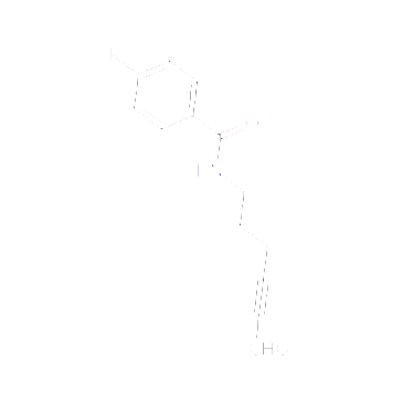 O=[C]C#CCCCNC(=O)c1ccc(I)cc1